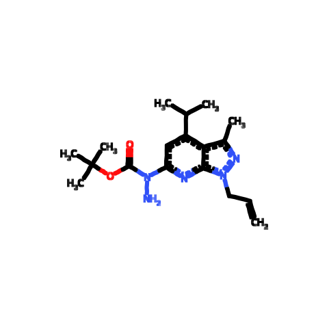 C=CCn1nc(C)c2c(C(C)C)cc(N(N)C(=O)OC(C)(C)C)nc21